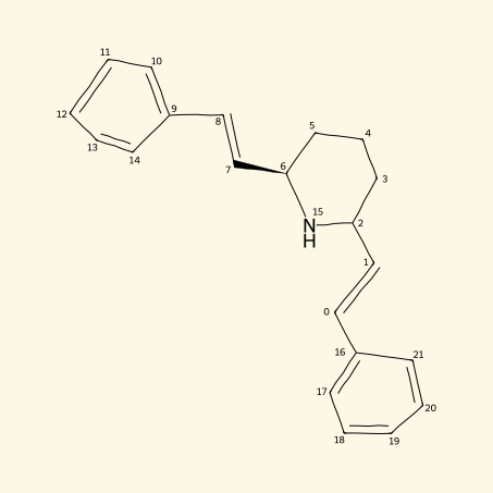 C(=C\C1CCC[C@H](/C=C/c2ccccc2)N1)/c1ccccc1